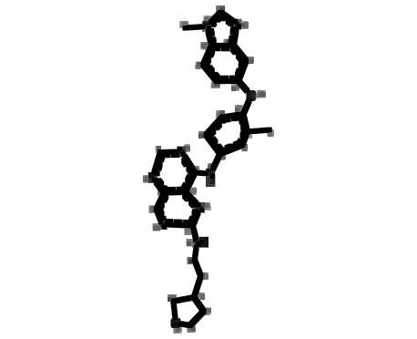 Cc1cc(Nc2ncnc3cnc(NCCC4CCOC4)nc23)ccc1Oc1ccc2c(c1)ncn2C